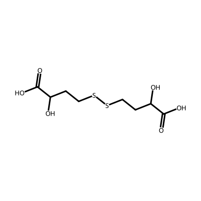 O=C(O)C(O)CCSSCCC(O)C(=O)O